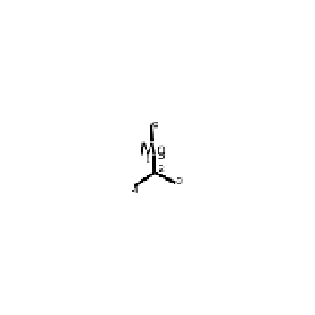 [CH3][Mg][CH](C)C